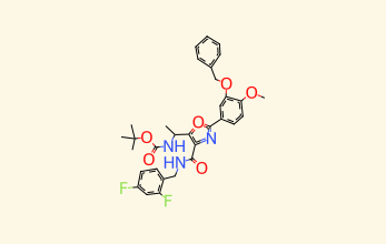 COc1ccc(-c2nc(C(=O)NCc3ccc(F)cc3F)c(C(C)NC(=O)OC(C)(C)C)o2)cc1OCc1ccccc1